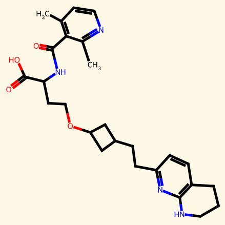 Cc1ccnc(C)c1C(=O)NC(CCOC1CC(CCc2ccc3c(n2)NCCC3)C1)C(=O)O